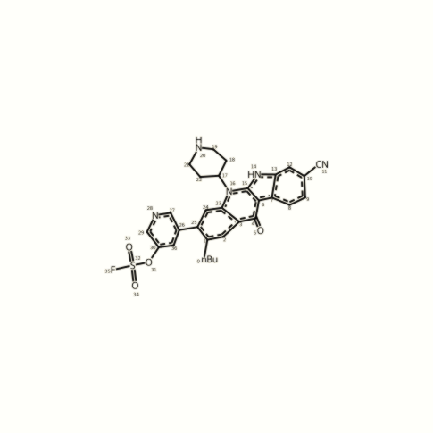 CCCCc1cc2c(=O)c3c4ccc(C#N)cc4[nH]c3n(C3CCNCC3)c2cc1-c1cncc(OS(=O)(=O)F)c1